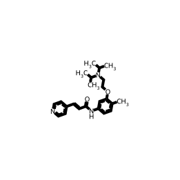 Cc1ccc(NC(=O)C=Cc2ccncc2)cc1OCCN(C(C)C)C(C)C